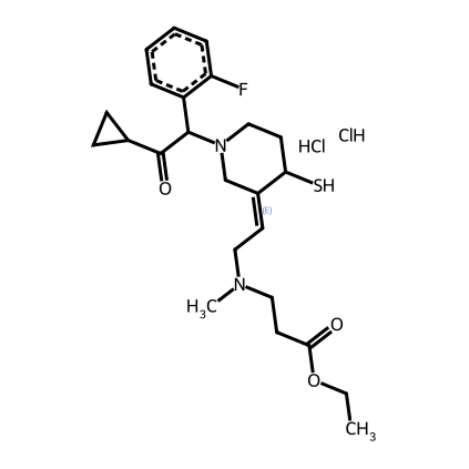 CCOC(=O)CCN(C)C/C=C1\CN(C(C(=O)C2CC2)c2ccccc2F)CCC1S.Cl.Cl